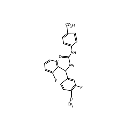 O=C(Nc1ccc(C(=O)O)cc1)NC(c1ccc(OC(F)(F)F)c(F)c1)c1ncccc1F